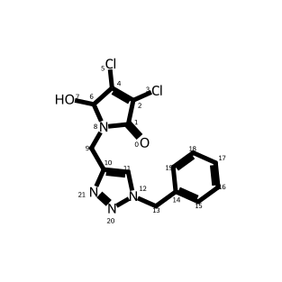 O=C1C(Cl)=C(Cl)C(O)N1Cc1cn(Cc2ccccc2)nn1